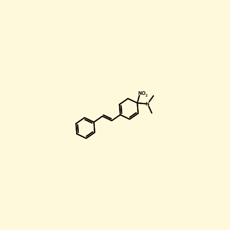 CN(C)C1([N+](=O)[O-])C=CC(C=Cc2ccccc2)=CC1